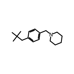 CC(C)(C)Cc1ccc(CN2CCCCC2)cc1